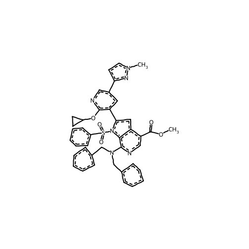 COC(=O)c1cnc(N(Cc2ccccc2)Cc2ccccc2)c2c1cc(-c1cc(-c3ccn(C)n3)cnc1OC1CC1)n2S(=O)(=O)c1ccccc1